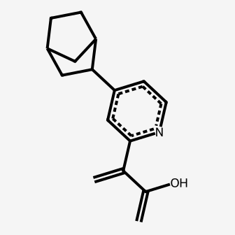 C=C(O)C(=C)c1cc(C2CC3CCC2C3)ccn1